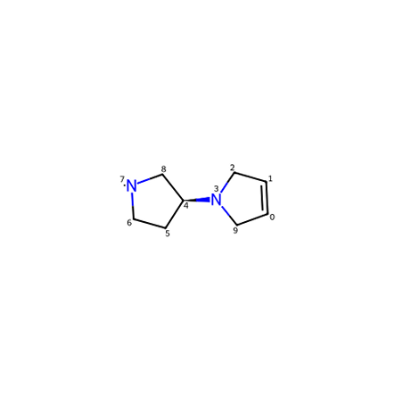 C1=CCN([C@H]2CC[N]C2)C1